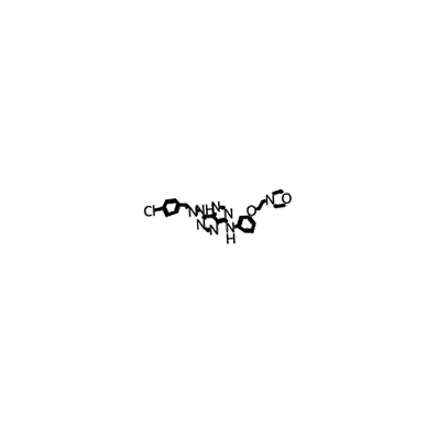 Clc1ccc(/C=N/Nc2ncnc3c(Nc4cccc(OCCN5CCOCC5)c4)ncnc23)cc1